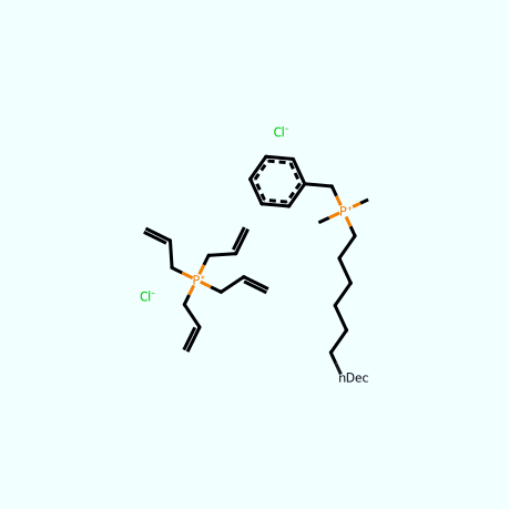 C=CC[P+](CC=C)(CC=C)CC=C.CCCCCCCCCCCCCCCC[P+](C)(C)Cc1ccccc1.[Cl-].[Cl-]